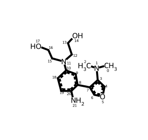 CN(C)c1cocc1-c1cc(N(CCO)CCO)ccc1N